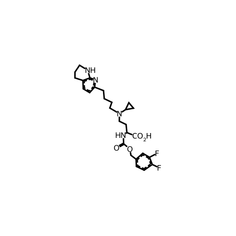 O=C(NC(CCN(CCCCc1ccc2c(n1)NCCC2)C1CC1)C(=O)O)OCc1ccc(F)c(F)c1